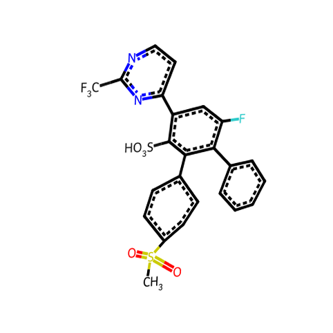 CS(=O)(=O)c1ccc(-c2c(-c3ccccc3)c(F)cc(-c3ccnc(C(F)(F)F)n3)c2S(=O)(=O)O)cc1